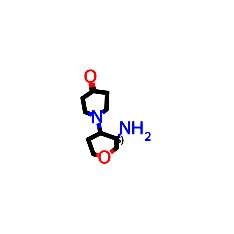 N[C@@H]1COCCC1N1CCC(=O)CC1